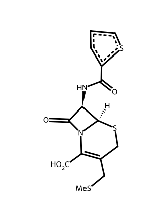 CSCC1=C(C(=O)O)N2C(=O)[C@@H](NC(=O)c3cccs3)[C@H]2SC1